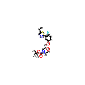 CCc1cnc(-c2cc(OC[C@H]3CN(C(=O)OC(C)(C)C)CCO3)ccc2F)s1